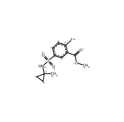 COC(=O)c1cc(S(=O)(=O)NC2(C)CC2)ccc1F